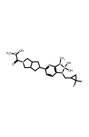 C[C@@H](O)C(=O)N1CC2CC(c3ccc4c(n3)N(C)S(O)(O)N4CC3CC3(F)F)CC2C1